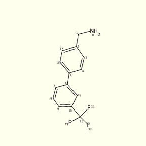 NCc1ccc(-c2cccc(C(F)(F)F)c2)cc1